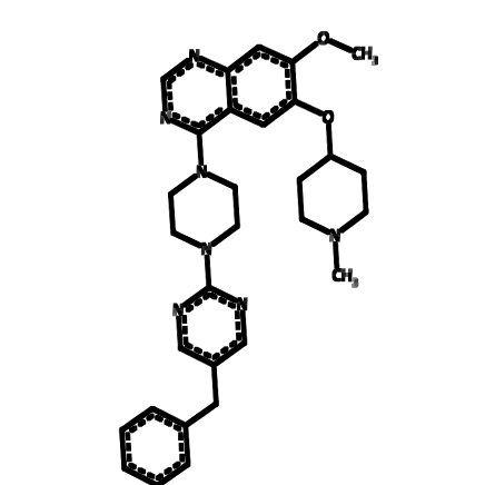 COc1cc2ncnc(N3CCN(c4ncc(Cc5ccccc5)cn4)CC3)c2cc1OC1CCN(C)CC1